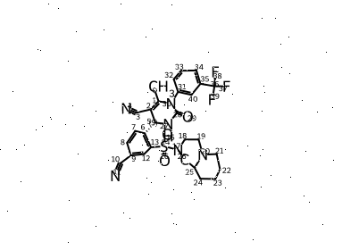 CC1=C(C#N)[C@@H](c2ccc(C#N)cc2S(=O)(=O)N2CCN3CCCCC3C2)NC(=O)N1c1cccc(C(F)(F)F)c1